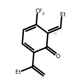 C=C(CC)C1=CC=C(C(F)(F)F)/C(=C\CC)C1=O